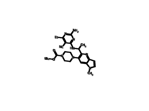 CCc1nc(N)nc(NC(C)c2nc3ccn(C)c3cc2N2CCN(C(=O)OC(C)(C)C)CC2)c1C#N